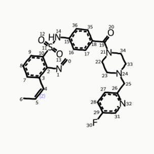 C=Nc1c(/C=C\C)cccc1S(=O)(=O)Nc1ccc(C(=O)N2CCN(Cc3ccc(F)cn3)CC2)cc1